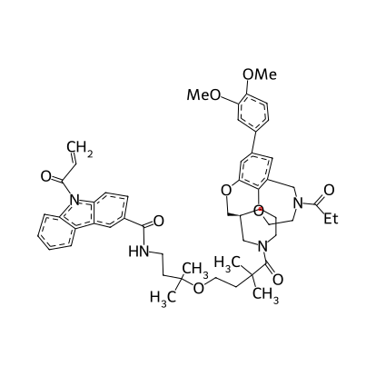 C=CC(=O)n1c2ccccc2c2cc(C(=O)NCCC(C)(C)OCCC(C)(C)C(=O)N3CCC[C@H](COc4cc(-c5ccc(OC)c(OC)c5)cc5c4OCCN(C(=O)CC)C5)C3)ccc21